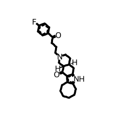 O=C(CCCN1CC[C@H]2Cc3[nH]c4c(c3C(=O)[C@@H]2C1)CCCCCC4)c1ccc(F)cc1